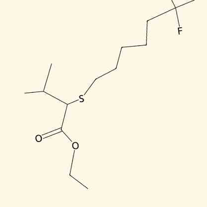 CCOC(=O)C(SCCCCCC(C)(F)F)C(C)C